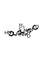 CC1CN(CC2CCNCC2)CC1C1=NC2=CN(C3CCOCC3)CN2C(=O)N1